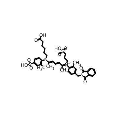 C\C(=C/C=C/C(C)=[N+](\CCCS(=O)(=O)O)c1ccc(CN2C(=O)c3ccccc3C2=O)cc1C)N(CCCCCC(=O)O)c1ccc(S(=O)(=O)O)cc1C